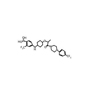 CC(OC1CCC(Nc2ccc(N(O)O)c(C(F)(F)F)c2)CC1)C(=O)N1CCN(c2ccc(C(F)(F)F)cc2)CC1